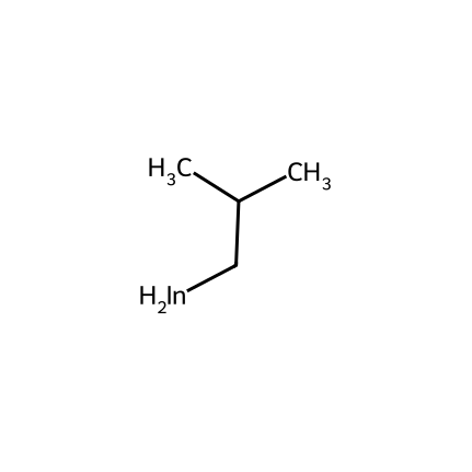 CC(C)[CH2][InH2]